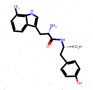 N[C@@H](Cc1c[nH]c2c(C(F)(F)F)cccc12)C(=O)N[C@@H](Cc1ccc(O)cc1)C(=O)O